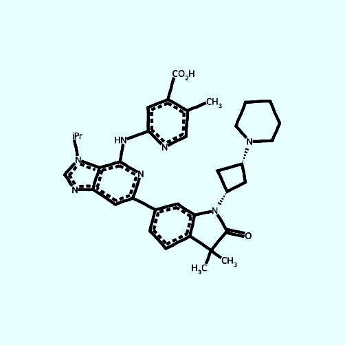 Cc1cnc(Nc2nc(-c3ccc4c(c3)N([C@H]3C[C@@H](N5CCCCC5)C3)C(=O)C4(C)C)cc3ncn(C(C)C)c23)cc1C(=O)O